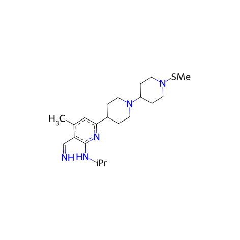 CSN1CCC(N2CCC(c3cc(C)c(C=N)c(NC(C)C)n3)CC2)CC1